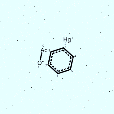 CC(=O)[O-].[Hg+].c1ccccc1